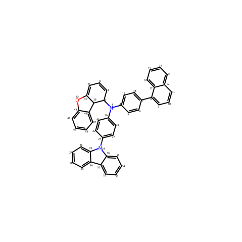 C1=CC(N(c2ccc(-c3cccc4ccccc34)cc2)c2ccc(-n3c4ccccc4c4ccccc43)cc2)C2C(=C1)Oc1ccccc12